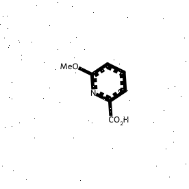 COc1cc[c]c(C(=O)O)n1